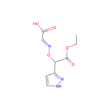 CCOC(=O)C(ON=CC(=O)O)c1cc[nH]n1